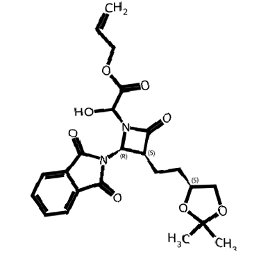 C=CCOC(=O)C(O)N1C(=O)[C@@H](CC[C@H]2COC(C)(C)O2)[C@H]1N1C(=O)c2ccccc2C1=O